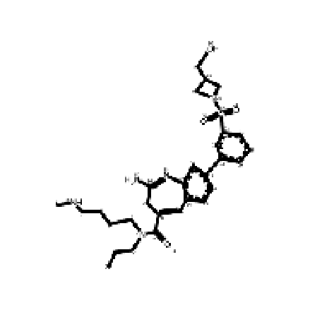 CCCN(CCCCNC)C(=O)C1=Cc2ccc(-c3cccc(S(=O)(=O)N4CC(CO)C4)c3)cc2N=C(N)C1